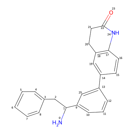 NC(Cc1ccccc1)c1cccc(-c2ccc3c(c2)CCC(=O)N3)c1